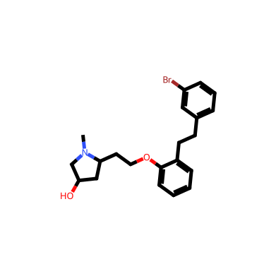 CN1CC(O)CC1CCOc1ccccc1CCc1cccc(Br)c1